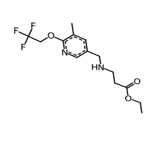 CCOC(=O)CCNCc1cnc(OCC(F)(F)F)c(C)c1